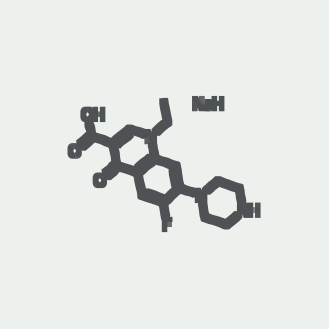 CCn1cc(C(=O)O)c(=O)c2cc(F)c(N3CCNCC3)cc21.[NaH]